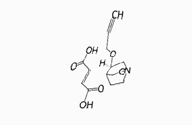 C#CCO[C@H]1CN2CCC1CC2.O=C(O)/C=C/C(=O)O